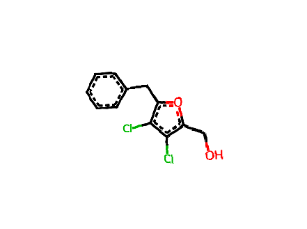 OCc1oc(Cc2ccccc2)c(Cl)c1Cl